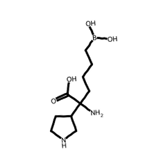 NC(CCCCB(O)O)(C(=O)O)C1CCNC1